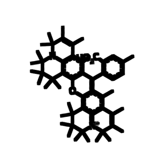 CC1=C(C)C(C)(C)N2c3c1c(C)c1c(c3C(C)(C)C(C)(C)C2(C)C)Oc2c3c4c(c(C)c2=C1c1ccc(C)cc1C(=O)O)C(C)=C(C)C(C)(C)[N+]=4C(C)(C)C(C)(C)C3(C)C